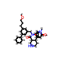 COCCCc1cc(CN(C(=O)C2CNCCC2c2ccn(C)c(=O)c2)C2CC2)cc(-c2ccccc2)c1